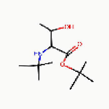 CC(O)C(NC(C)(C)C)C(=O)OC(C)(C)C